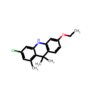 CCOc1ccc2c(c1)Nc1cc(Cl)cc(C)c1C2(C)C